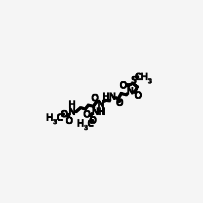 COC(=O)NCCCCC(NC(=O)OC)C(=O)NCCNC(=O)CCN1C(=O)CC(SC)C1=O